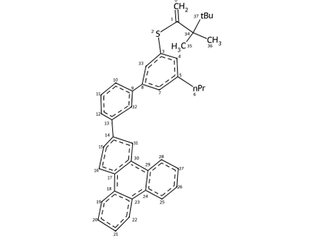 C=C(Sc1cc(CCC)cc(-c2cccc(-c3ccc4c5ccccc5c5ccccc5c4c3)c2)c1)C(C)(C)C(C)(C)C